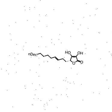 CCCCCCCCCCCCCCC=CCC[C@H]1OC(=O)C(O)=C1O